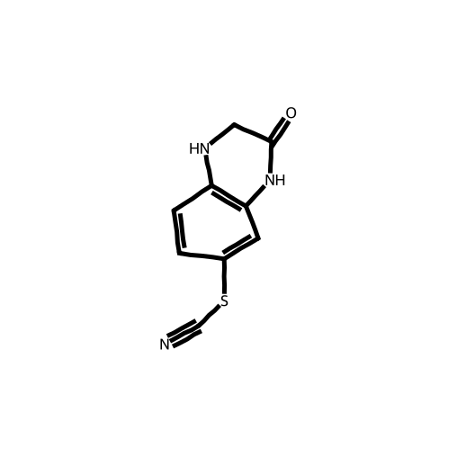 N#CSc1ccc2c(c1)NC(=O)CN2